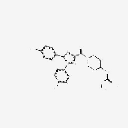 Cc1ccc(-c2cc(C(=O)N3CCC(NC(=O)OC(C)(C)C)CC3)nn2-c2ccc(C#N)cc2)cc1